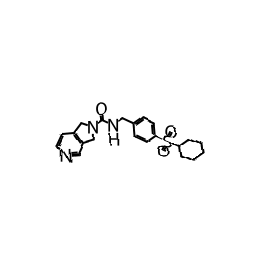 O=C(NCc1ccc(S(=O)(=O)C2CCCCC2)cc1)N1Cc2ccncc2C1